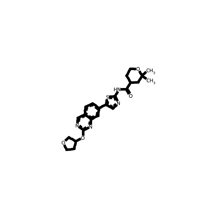 CC1(C)CC(C(=O)Nc2ncc(-c3ccc4cnc(OC5CCOC5)nc4c3)s2)CCO1